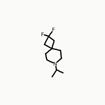 CC(C)N1CCC2(CC1)CC(F)(F)C2